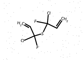 C=CC(F)(Cl)SC(F)(Cl)C=C